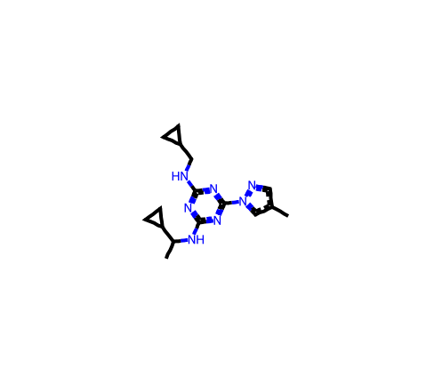 Cc1cnn(-c2nc(NCC3CC3)nc(NC(C)C3CC3)n2)c1